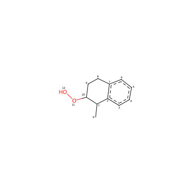 CC1c2ccccc2CCC1OO